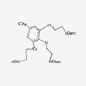 [C-]#[N+]c1cc(OCCCCCCCCCCCC)c(OCCCCCCCCCCCC)c(OCCCCCCCCCCCC)c1